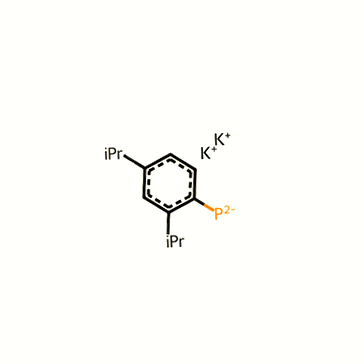 CC(C)c1ccc([P-2])c(C(C)C)c1.[K+].[K+]